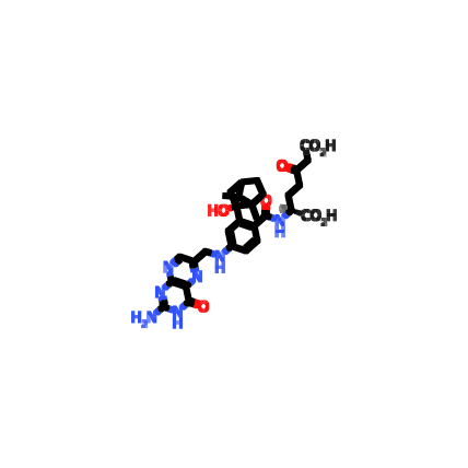 CC1(C)C2CCC1(C)C(O)(c1cc(NCc3cnc4nc(N)[nH]c(=O)c4n3)ccc1C(=O)N[C@@H](CCC(=O)CC(=O)O)C(=O)O)C2